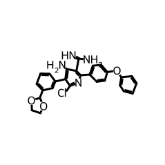 N=C(N)c1c(-c2ccc(Oc3ccccc3)cc2)nc(Cl)c(-c2cccc(C3OCCO3)c2)c1N